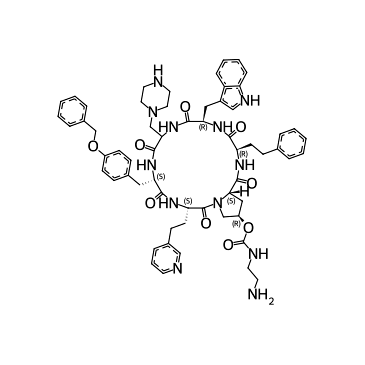 NCCNC(=O)O[C@@H]1C[C@H]2C(=O)N[C@H](CCc3ccccc3)C(=O)N[C@H](Cc3c[nH]c4ccccc34)C(=O)NC(CN3CCNCC3)C(=O)N[C@@H](Cc3ccc(OCc4ccccc4)cc3)C(=O)N[C@@H](CCc3cccnc3)C(=O)N2C1